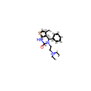 CCN(CC)CCN1C(=O)Nc2scc(C)c2C1c1ccccc1